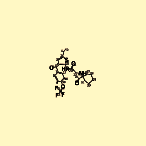 CCc1cc(C(=O)c2ccc(OC(F)(F)F)cc2)c(NC(=O)CNC2(C=O)CCCCC2)s1